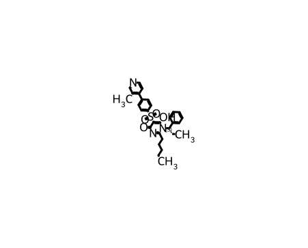 CCCCCc1nc(=O)c(S(=O)(=O)c2ccc(-c3ccncc3C)cc2)c(O)n1[C@@H](CC)c1ccccc1